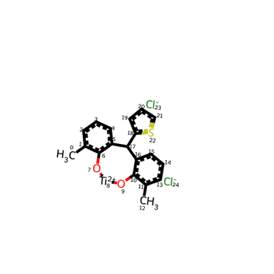 Cc1cccc2c1[O][Ti+2][O]c1c(C)cccc1C2c1cccs1.[Cl-].[Cl-]